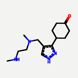 CNCCN(C)Cc1c[nH]nc1C1CCC(=O)CC1